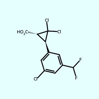 O=C(O)[C@H]1[C@H](c2cc(Cl)cc(C(F)F)c2)C1(Cl)Cl